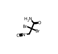 [C-]#[N+]CC(Br)(Br)C(N)=O